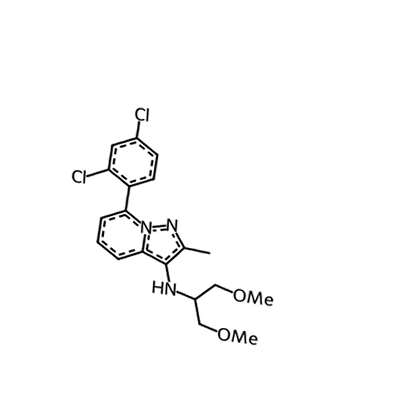 COCC(COC)Nc1c(C)nn2c(-c3ccc(Cl)cc3Cl)cccc12